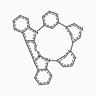 c1cc2cc(c1)-n1c3ccccc3c3c4c5ccccc5n(c4sc31)-c1cccc(c1)-c1cncc-2c1